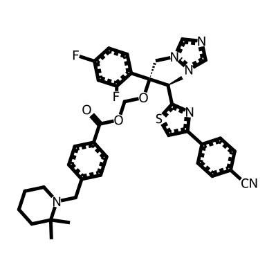 C[C@@H](c1nc(-c2ccc(C#N)cc2)cs1)[C@@](Cn1cncn1)(OCOC(=O)c1ccc(CN2CCCCC2(C)C)cc1)c1ccc(F)cc1F